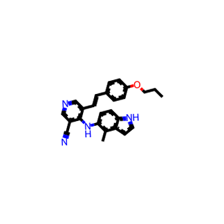 CCCOc1ccc(C=Cc2cncc(C#N)c2Nc2ccc3[nH]ccc3c2C)cc1